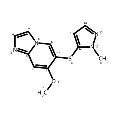 COc1cc2nccn2cc1Sc1ccnn1C